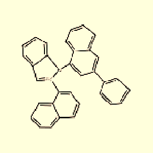 c1ccc(-c2cc(-n3c4ccccc4c[13c]3-c3cccc4ccccc34)c3ccccc3c2)cc1